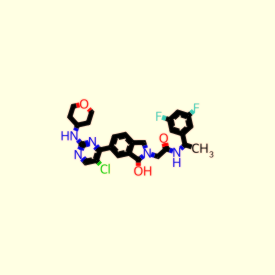 CC(NC(=O)CN1Cc2ccc(-c3nc(NC4CCOCC4)ncc3Cl)cc2C1O)c1cc(F)cc(F)c1